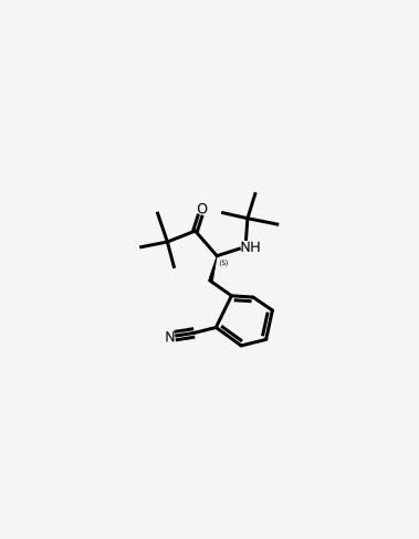 CC(C)(C)N[C@@H](Cc1ccccc1C#N)C(=O)C(C)(C)C